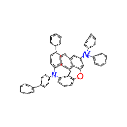 c1ccc(-c2ccc(N(c3ccc(-c4ccccc4)cc3)c3cccc4c3-c3cccc5cc(N(c6ccccc6)c6ccccc6)cc(c35)O4)cc2)cc1